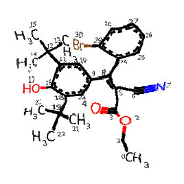 CCOC(=O)C(C#N)=C(c1cc(C(C)(C)C)c(O)c(C(C)(C)C)c1)c1ccccc1Br